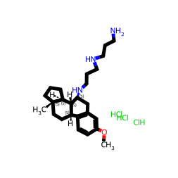 COc1ccc2c(c1)C[C@H](NCCCNCCCN)[C@@H]1[C@@H]2CC[C@]2(C)CCC[C@@H]12.Cl.Cl.Cl